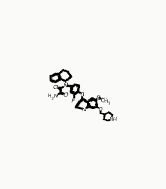 COc1cc2c(Oc3ccc(N(C(=O)C(N)=O)[C@H]4CCCc5ccccc54)cc3F)ccnc2cc1OCC1CCNCC1